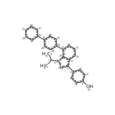 CC(C)n1nc(-c2ccc(O)cc2)c2cccc(-c3ccc(-c4ccccc4)cc3)c21